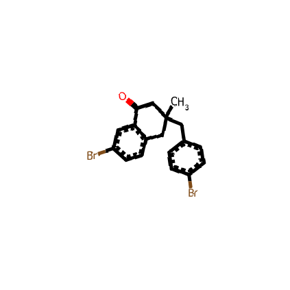 CC1(Cc2ccc(Br)cc2)CC(=O)c2cc(Br)ccc2C1